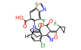 O=C(O)c1cc2scnc2c(F)c1N1C[C@H]2CC[C@]1(OC(=O)c1c(-c3c(Cl)cccc3Cl)noc1C1(F)CC1)C2